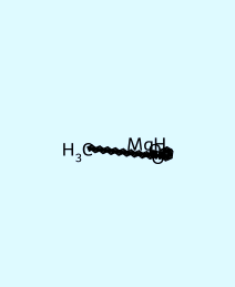 CCCCCCCCCCCCCCCCCC(=O)Oc1ccccc1.[MgH2]